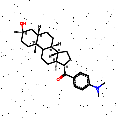 CN(C)c1ccc(C(=O)[C@H]2CC[C@H]3[C@@H]4CC[C@@H]5C[C@](C)(O)CC[C@]5(C)C4CC[C@]23C)cc1